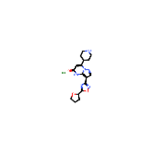 Cl.O=c1cc(C2CCNCC2)n2ncc(-c3noc(C4CCCO4)n3)c2[nH]1